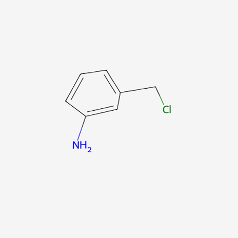 Nc1cccc(CCl)c1